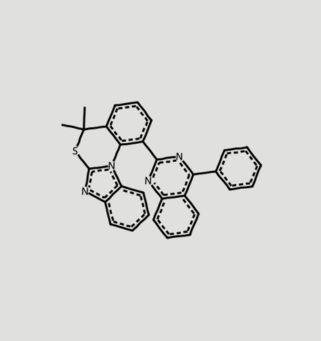 CC1(C)Sc2nc3ccccc3n2-c2c(-c3nc(-c4ccccc4)c4ccccc4n3)cccc21